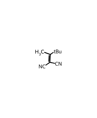 CC(=C(C#N)C#N)C(C)(C)C